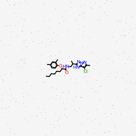 CCCCCCC(Oc1ccc(C)cc1C)C(=O)NCC(C)c1nn2nc(C)c(Cl)c2[nH]1